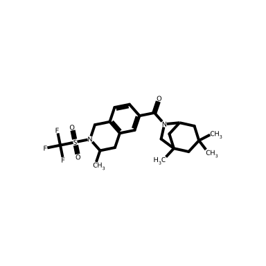 CC1Cc2cc(C(=O)N3CC4(C)CC3CC(C)(C)C4)ccc2CN1S(=O)(=O)C(F)(F)F